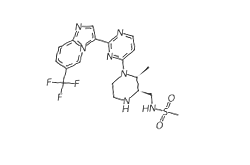 C[C@H]1[C@@H](CNS(C)(=O)=O)NCCN1c1ccnc(-c2cnc3ccc(C(F)(F)F)cn23)n1